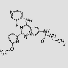 CCNC(=O)Nc1cc2c(Nc3ccncc3F)nc(-c3cccc(OC)n3)nn2c1